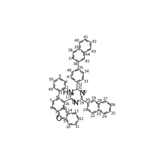 c1ccc(-c2ccc3oc4ccccc4c3c2C2=NC(c3ccc4ccccc4c3)=NC(c3ccc(-c4ccc5ccccc5c4)cc3)N2)cc1